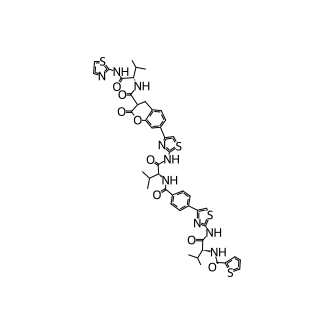 CC(C)[C@H](NC(=O)c1ccc(-c2csc(NC(=O)[C@@H](NC(=O)c3cccs3)C(C)C)n2)cc1)C(=O)Nc1nc(-c2ccc3c(c2)OC(=O)C(C(=O)N[C@H](C(=O)Nc2nccs2)C(C)C)C3)cs1